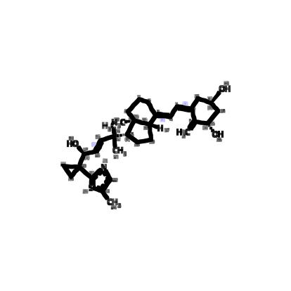 C=C1/C(=C\C=C2/CCC[C@]3(C)[C@@H](C(C)(C)/C=C/[C@H](O)C4(c5ncc(C)s5)CC4)CC[C@@H]23)C[C@@H](O)C[C@@H]1O